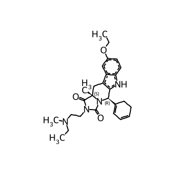 CCOc1ccc2[nH]c3c(c2c1)C[C@@]1(C)C(=O)N(CCN(C)CC)C(=O)N1[C@@H]3C1=CC=CCC1